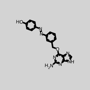 Nc1nc(OCc2cccc(N=Nc3ccc(O)cc3)c2)c2nc[nH]c2n1